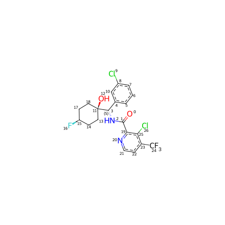 O=C(N[C@@H](c1cccc(Cl)c1)[C@]1(O)CC[C@@H](F)CC1)c1nccc(C(F)(F)F)c1Cl